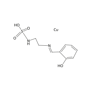 O=S(=O)(O)NCCN=Cc1ccccc1O.[Cu]